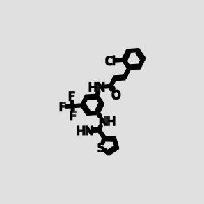 N=C(Nc1cc(NC(=O)/C=C/c2ccccc2Cl)cc(C(F)(F)F)c1)c1cccs1